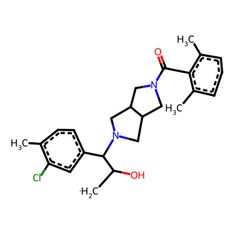 [CH2]C(O)C(c1ccc(C)c(Cl)c1)N1CC2CN(C(=O)c3c(C)cccc3C)CC2C1